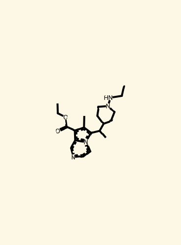 CCNN1CCC(C(C)c2c(C)c(C(=O)OCC)c3cnccn23)CC1